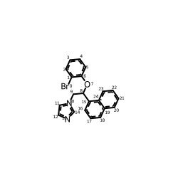 Brc1ccccc1OC(Cn1ccnc1)c1cccc2ccccc12